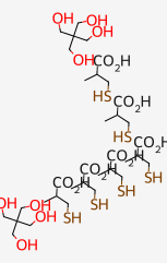 CC(CS)C(=O)O.CC(CS)C(=O)O.CC(CS)C(=O)O.CC(CS)C(=O)O.CC(CS)C(=O)O.CC(CS)C(=O)O.OCC(CO)(CO)CO.OCC(CO)(CO)CO